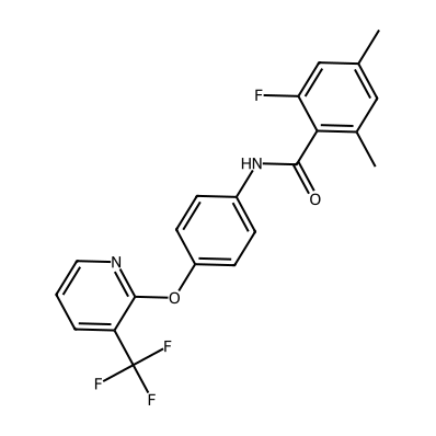 Cc1cc(C)c(C(=O)Nc2ccc(Oc3ncccc3C(F)(F)F)cc2)c(F)c1